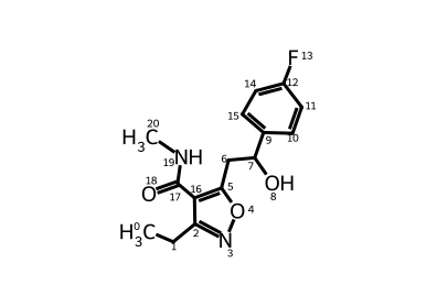 CCc1noc(CC(O)c2ccc(F)cc2)c1C(=O)NC